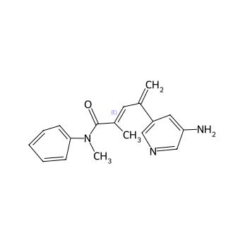 C=C(/C=C(\C)C(=O)N(C)c1ccccc1)c1cncc(N)c1